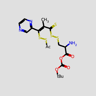 CC(=O)SS/C(=C(/C)C(=S)SSCC(N)C(=O)OC(=O)OC(C)(C)C)c1cnccn1